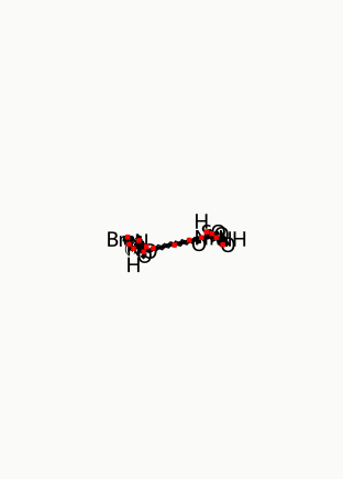 COc1cc2c(N[C@H](C)c3cccc(Br)c3)nc(C)nc2cc1OCCCCCCCCCCCCCCCC(=O)NCc1scc2c1CN(C1CCC(=O)NC1=O)C2=O